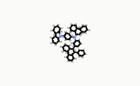 c1ccc(-c2c(-c3cccc(N(c4ccc(-n5c6ccccc6c6ccccc65)cc4)c4cc5ccccc5c5ccccc45)c3)c3ccccc3c3ccccc23)cc1